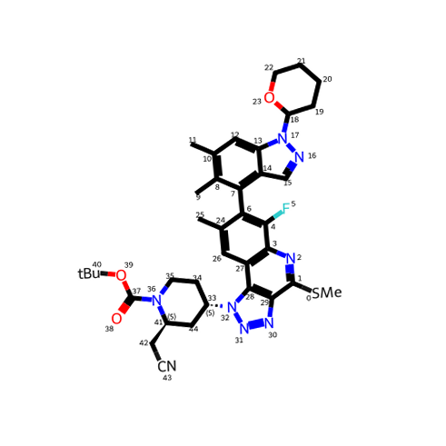 CSc1nc2c(F)c(-c3c(C)c(C)cc4c3cnn4C3CCCCO3)c(C)cc2c2c1nnn2[C@H]1CCN(C(=O)OC(C)(C)C)[C@H](CC#N)C1